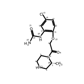 C[C@@H]1CNCCN1C(=O)COc1ccc(Cl)cc1NC(N)=O